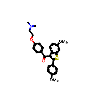 COc1ccc(-c2sc3cc(OC)ccc3c2C(=O)c2ccc(OCCN(C)C)cc2)cc1